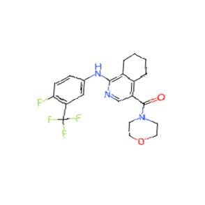 O=C(c1cnc(Nc2ccc(F)c(C(F)(F)F)c2)c2c1CCCC2)N1CCOCC1